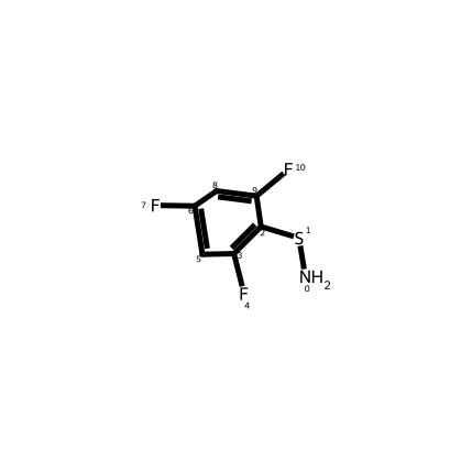 NSc1c(F)cc(F)cc1F